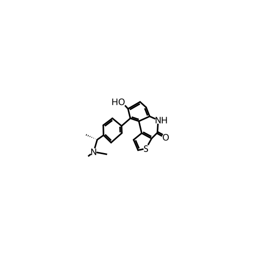 C[C@H](c1ccc(-c2c(O)ccc3[nH]c(=O)c4sccc4c23)cc1)N(C)C